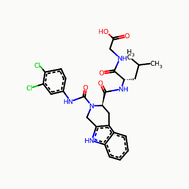 CC(C)C[C@H](NC(=O)[C@H]1Cc2c([nH]c3ccccc23)CN1C(=O)Nc1ccc(Cl)c(Cl)c1)C(=O)NCC(=O)O